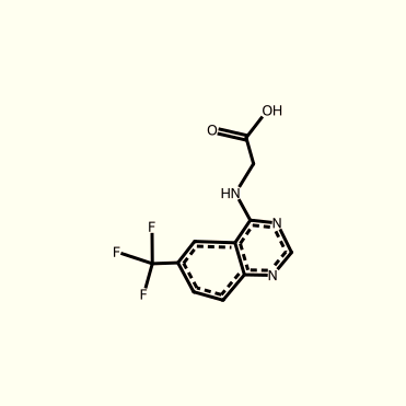 O=C(O)CNc1ncnc2ccc(C(F)(F)F)cc12